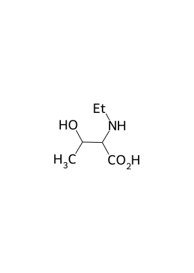 CCNC(C(=O)O)C(C)O